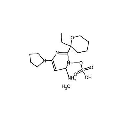 CCC1(C2=NC(N3CCCC3)=CC(N)N2OS(=O)(=O)O)CCCCO1.O